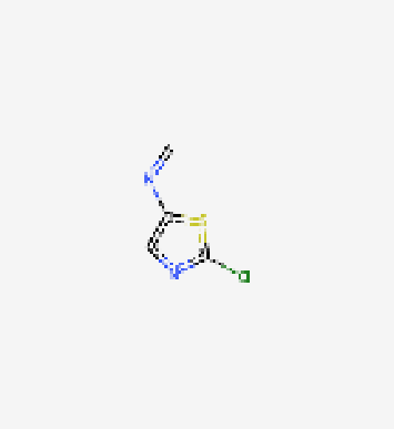 C=Nc1cnc(Cl)s1